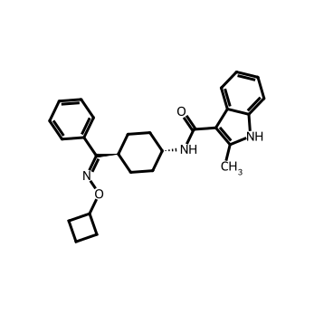 Cc1[nH]c2ccccc2c1C(=O)N[C@H]1CC[C@H](/C(=N\OC2CCC2)c2ccccc2)CC1